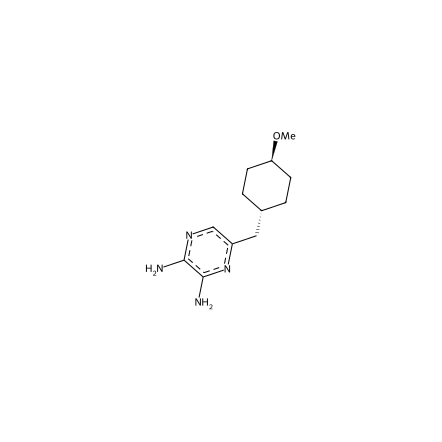 CO[C@H]1CC[C@H](Cc2cnc(N)c(N)n2)CC1